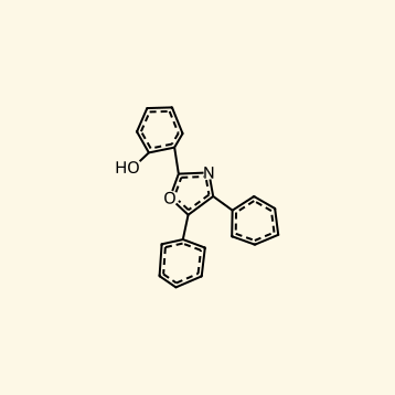 Oc1ccccc1-c1nc(-c2ccccc2)c(-c2ccccc2)o1